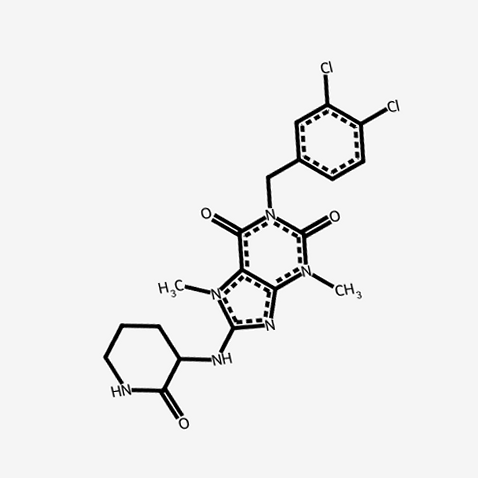 Cn1c(NC2CCCNC2=O)nc2c1c(=O)n(Cc1ccc(Cl)c(Cl)c1)c(=O)n2C